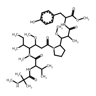 CCC(C)C(C(CC(=O)N1CCCC1C(OC)C(C)C(=O)NC(Cc1ccc(O)cc1)C(=O)OC)OC)N(C)C(=O)C(NC(=O)C(C)(C)NC)C(C)C